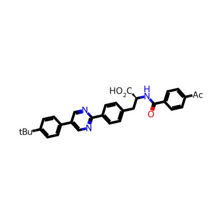 CC(=O)c1ccc(C(=O)N[C@@H](Cc2ccc(-c3ncc(-c4ccc(C(C)(C)C)cc4)cn3)cc2)C(=O)O)cc1